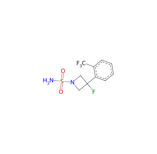 NS(=O)(=O)N1CC(F)(c2ccccc2C(F)(F)F)C1